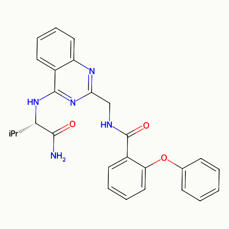 CC(C)[C@H](Nc1nc(CNC(=O)c2ccccc2Oc2ccccc2)nc2ccccc12)C(N)=O